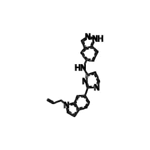 C=CCn1ccc2ccc(-c3nccc(Nc4ccc5[nH]ncc5c4)n3)cc21